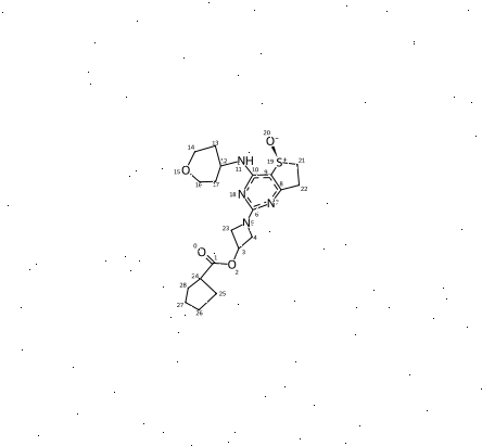 O=C(OC1CN(c2nc3c(c(NC4CCOCC4)n2)[S@@+]([O-])CC3)C1)C1CCCC1